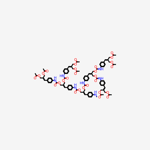 CNc1ccc(C=C(COC(=O)Nc2ccc(C=C(COC(=O)Nc3ccc(C=C(COC(C)=O)COC(C)=O)cc3)COC(=O)Nc3ccc(C=C(COC(C)=O)COC(C)=O)cc3)cc2)COC(=O)Nc2ccc(C=C(COC(=O)Nc3ccc(C=C(COC(C)=O)COC(C)=O)cc3)COC(=O)Nc3ccc(C=C(COC(C)=O)COC(C)=O)cc3)cc2)cc1